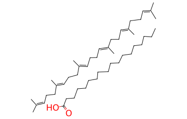 CC(C)=CCC/C(C)=C/CC/C(C)=C/CC/C=C(\C)CC/C=C(\C)CCC=C(C)C.CCCCCCCCCCCCCCCCCC(=O)O